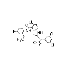 C=Cc1cc(F)ccc1NC(=O)c1cc(NC(=O)C2C(c3cc(Cl)cc(Cl)c3)C2(Cl)Cl)ccc1Cl